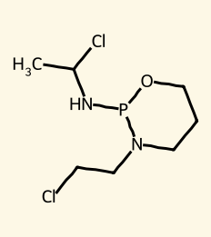 CC(Cl)NP1OCCCN1CCCl